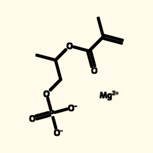 C=C(C)C(=O)OC(C)COP(=O)([O-])[O-].[Mg+2]